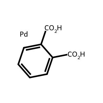 O=C(O)c1ccccc1C(=O)O.[Pd]